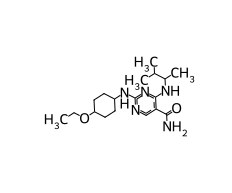 CCOC1CCC(Nc2ncc(C(N)=O)c(NC(C)C(C)C)n2)CC1